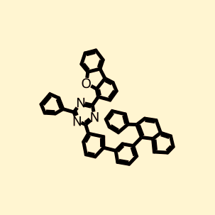 c1ccc(-c2nc(-c3cccc(-c4cccc(-c5c(-c6ccccc6)ccc6ccccc56)c4)c3)nc(-c3cccc4c3oc3ccccc34)n2)cc1